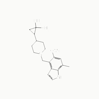 BC1(B)CC1C1CCN(Cc2c(OC)cc(C)c3[nH]ccc23)CC1